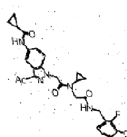 CC(=O)c1nn(CC(=O)N(CC(=O)NCc2cccc(Cl)c2F)C2CC2)c2ccc(NC(=O)C3CC3)cc12